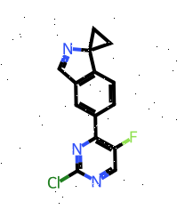 Fc1cnc(Cl)nc1-c1ccc2c(c1)C=NC21CC1